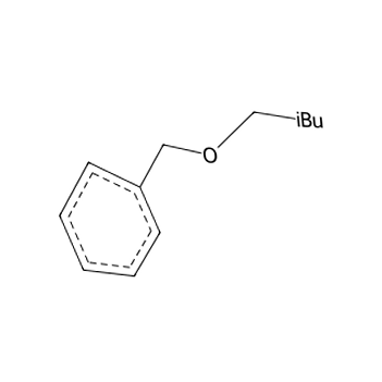 [CH2]CC(C)COCc1ccccc1